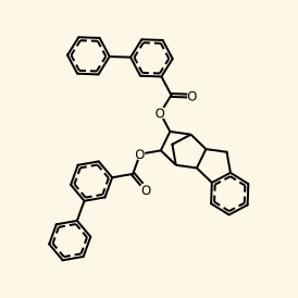 O=C(OC1C2CC(C1OC(=O)c1cccc(-c3ccccc3)c1)C1c3ccccc3CC21)c1cccc(-c2ccccc2)c1